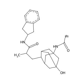 CC(C)C(=O)NC12CC3CC(O)(CC(C1)C3CC(C)C(=O)NC1Cc3ccccc3C1)C2